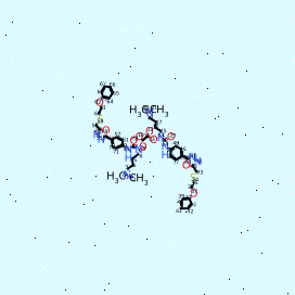 CN(C)CCCCN(OC(=O)C(=O)ON(CCCCN(C)C)C(=O)Nc1ccc(-c2nnc(CSCCOc3ccccc3)o2)cc1)C(=O)Nc1ccc(-c2nnc(CSCCOc3ccccc3)o2)cc1